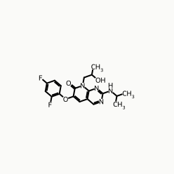 CC(O)Cn1c(=O)c(Oc2ccc(F)cc2F)cc2cnc(NC(C)C)nc21